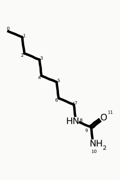 CCCCCCC[CH]NC(N)=O